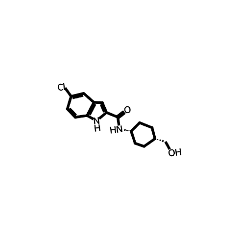 O=C(N[C@H]1CC[C@@H](CO)CC1)c1cc2cc(Cl)ccc2[nH]1